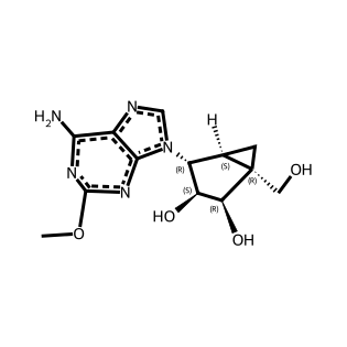 COc1nc(N)c2ncn([C@H]3[C@H](O)[C@H](O)[C@]4(CO)C[C@H]34)c2n1